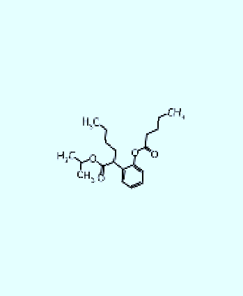 CCCCC(=O)Oc1ccccc1C(CCCC)C(=O)OC(C)C